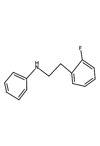 Fc1ccccc1CCNc1cc[c]cc1